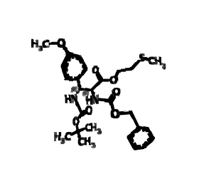 COc1ccc([C@@H](NC(=O)OC(C)(C)C)[C@H](NC(=O)OCc2ccccc2)C(=O)OCCSC)cc1